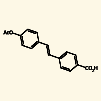 CC(=O)Oc1ccc(C=Cc2ccc(C(=O)O)cc2)cc1